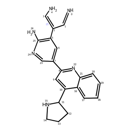 N=C/C(=C\N)c1cc(-c2cc(C3CCCN3)c3ccccc3n2)cnc1N